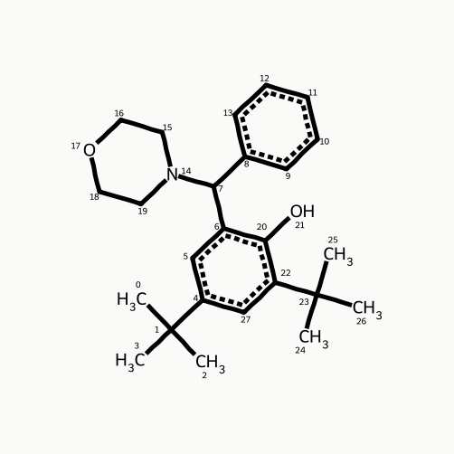 CC(C)(C)c1cc(C(c2ccccc2)N2CCOCC2)c(O)c(C(C)(C)C)c1